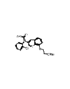 CCCC(=O)N(c1cnc2c(OCCSC)cccc2c1)c1ccccc1CC